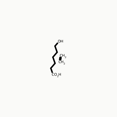 C=C.O=C(O)CCCCCO